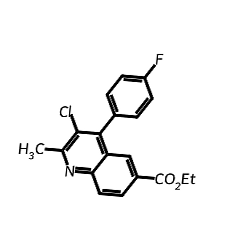 CCOC(=O)c1ccc2nc(C)c(Cl)c(-c3ccc(F)cc3)c2c1